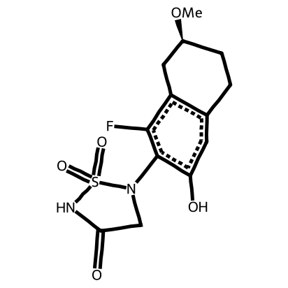 CO[C@H]1CCc2cc(O)c(N3CC(=O)NS3(=O)=O)c(F)c2C1